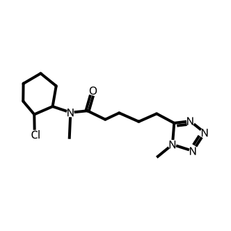 CN(C(=O)CCCCc1nnnn1C)C1CCCCC1Cl